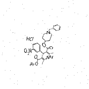 CC1=C(C(=O)OC(C)C)C(c2cccc([N+](=O)[O-])c2)C(C(=O)OC2CCN(Cc3ccccc3)CC2)=C(C)N1.Cl